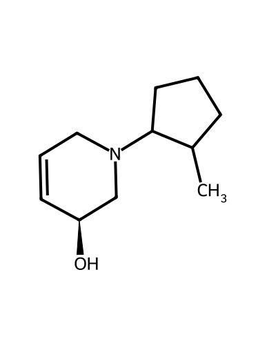 CC1CCCC1N1CC=C[C@H](O)C1